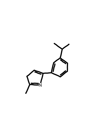 CC1=NC(c2cccc(C(C)C)c2)=CC1